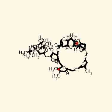 C=C1CC2CC[C@@]34CC5O[C@H]6[C@@H](O3)[C@H]3OC(CC[C@@H]3O[C@H]6[C@H]5O4)CC(=O)CC3[C@H](C[C@H]4O[C@@H](CCC1O2)C[C@@H](C)C4=C)O[C@H](C[C@@H](CO[Si](C)(C)C(C)(C)C)O[Si](C)(C)C(C)(C)C)[C@@H]3OC